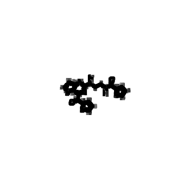 O=C(NCCNc1nc(C(=O)c2cccs2)c2sccc2n1)c1cccs1